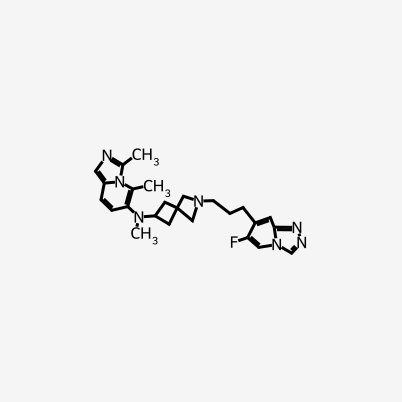 Cc1ncc2ccc(N(C)C3CC4(C3)CN(CCCc3cc5nncn5cc3F)C4)c(C)n12